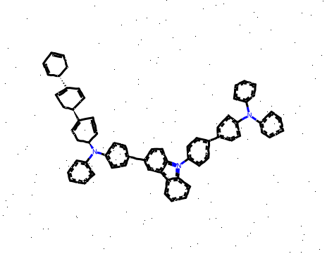 C1=CC[C@H](C2=CC[C@H](C3=CC[C@H](N(c4ccccc4)c4ccc(-c5ccc6c(c5)c5ccccc5n6-c5ccc(-c6ccc(N(c7ccccc7)c7ccccc7)cc6)cc5)cc4)C=C3)C=C2)C=C1